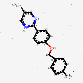 CCCCCc1cnc(-c2ccc(OCc3ccc(CCCC)cc3)cc2)nc1